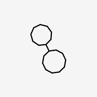 C1CCCC[C](C2CCCCCCCC2)CCCC1